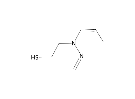 C=NN(/C=C\C)CCS